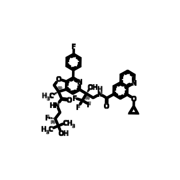 CC(C)(O)[C@H](F)CNC(=O)[C@@]1(C)COc2c1cc([C@@](O)(CNC(=O)c1cc(OC3CC3)c3ncccc3c1)C(F)(F)F)nc2-c1ccc(F)cc1